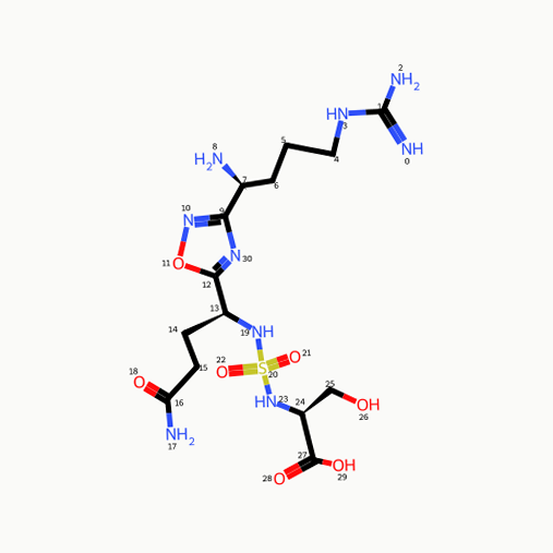 N=C(N)NCCC[C@H](N)c1noc([C@H](CCC(N)=O)NS(=O)(=O)N[C@@H](CO)C(=O)O)n1